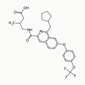 CC(CNC(=O)c1cc2ccc(Oc3ccc(OC(F)(F)F)cc3)cc2c(CC2CCCC2)n1)CC(=O)O